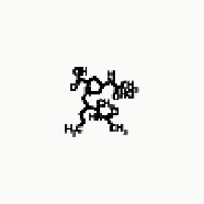 CCCC(CN1CC(NC(C)=O)CC1C(=O)O)C(C)NC(C)=O.Cl